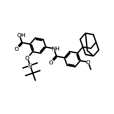 COc1ccc(C(=O)Nc2ccc(C(=O)O)c(O[Si](C)(C)C(C)(C)C)c2)cc1C12CC3CC(CC(C3)C1)C2